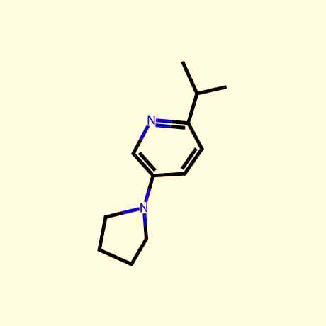 CC(C)c1ccc(N2CCCC2)cn1